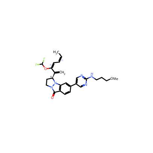 C=C(/C(=C\C=C/C)OC(F)F)[C@@H]1CCn2c(=O)c3ccc(-c4cnc(NCCCOC)nc4)cc3n21